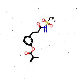 C=C(C)C(=O)Oc1cccc(CCC(=O)NS(=O)(=O)C(F)(F)F)c1